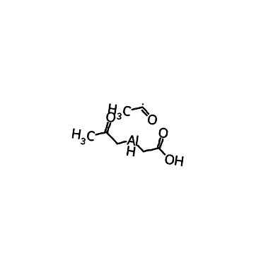 CC(=O)[CH2][AlH][CH2]C(=O)O.C[C]=O